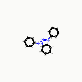 c1ccc(N=NNc2ccccc2)cc1.c1ccccc1